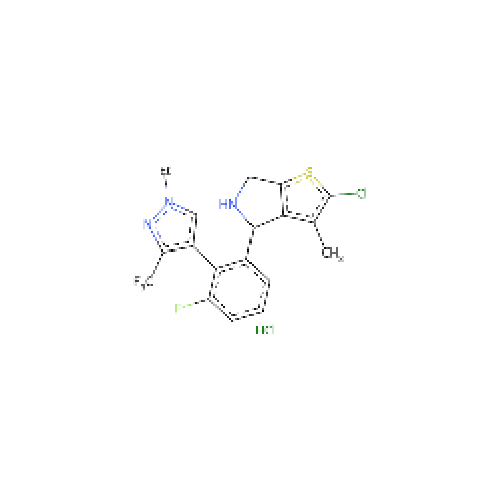 CCn1cc(-c2c(F)cccc2C2NCc3sc(Cl)c(C)c32)c(C(F)(F)F)n1.Cl